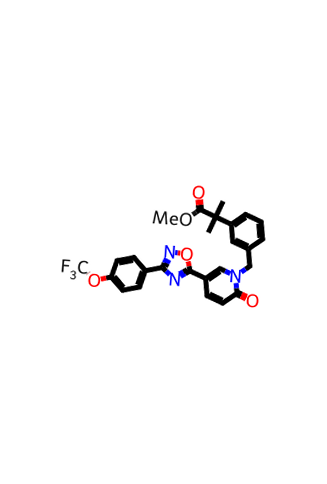 COC(=O)C(C)(C)c1cccc(Cn2cc(-c3nc(-c4ccc(OC(F)(F)F)cc4)no3)ccc2=O)c1